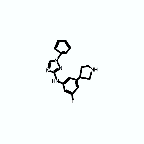 Fc1cc(Nc2ncn(-c3ccccc3)n2)cc(C2CCNC2)c1